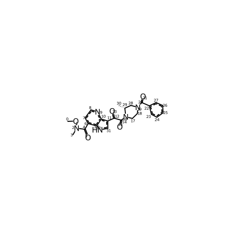 CON(C)C(=O)c1ccnc2c(C(=O)C(=O)N3CCN(C(=O)c4ccccc4)C[C@H]3C)c[nH]c12